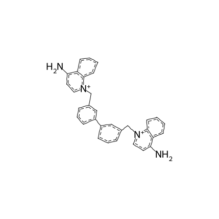 Nc1cc[n+](Cc2cccc(-c3cccc(C[n+]4ccc(N)c5ccccc54)c3)c2)c2ccccc12